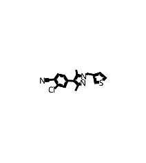 Cc1nn(Cc2ccsc2)c(C)c1-c1ccc(C#N)c(Cl)c1